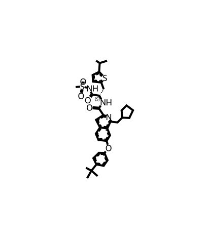 CC(C)c1ccc(C[C@H](NC(=O)c2cc3ccc(Oc4ccc(C(C)(C)C)cc4)cc3c(CC3CCCC3)n2)C(=O)NS(C)(=O)=O)s1